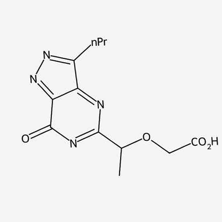 CCCC1=NN=C2C(=O)N=C(C(C)OCC(=O)O)N=C12